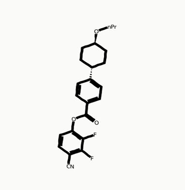 CCCO[C@H]1CC[C@H](c2ccc(C(=O)Oc3ccc(C#N)c(F)c3F)cc2)CC1